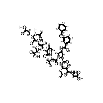 CCC[C@H](NC(=O)[C@@H]1C[C@@H](NC(=O)c2cccc(Oc3ccccc3)c2)CN1C(=O)[C@@H](NC(=O)[C@@H](NC(=O)[C@H](CCC(=O)O)NC(=O)[C@H](CCC(=O)O)NC(C)=O)C(C)C)C(C)C)C(=O)C(=O)NCC(=O)O